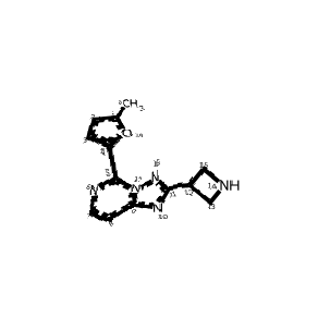 Cc1ccc(-c2nccc3nc(C4CNC4)nn23)o1